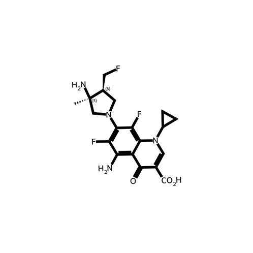 C[C@@]1(N)CN(c2c(F)c(N)c3c(=O)c(C(=O)O)cn(C4CC4)c3c2F)C[C@@H]1CF